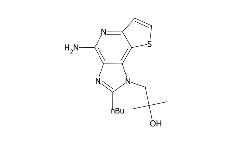 CCCCc1nc2c(N)nc3ccsc3c2n1CC(C)(C)O